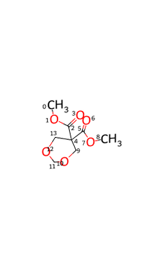 COC(=O)C1(C(=O)OC)COCOC1